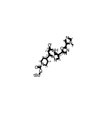 Cn1cncc1-c1nnc(-c2cnn3c(C4CCN(C(=O)OC(C)(C)C)CC4)cc(=O)[nH]c23)o1